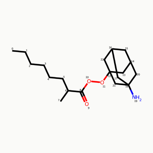 CCCCCCC(C)C(=O)OOC12CC3CC(CC(N)(C3)C1)C2